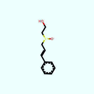 [O-][S+](CC=Cc1ccccc1)CCO